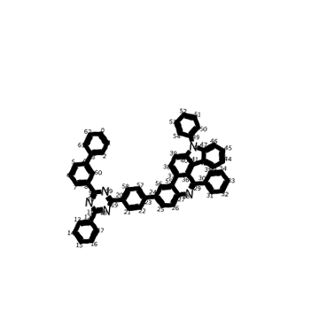 c1ccc(-c2cccc(-c3nc(-c4ccccc4)nc(-c4ccc(-c5ccc6nc(-c7ccccc7)c7c(ccc8c7c7ccccc7n8-c7ccccc7)c6c5)cc4)n3)c2)cc1